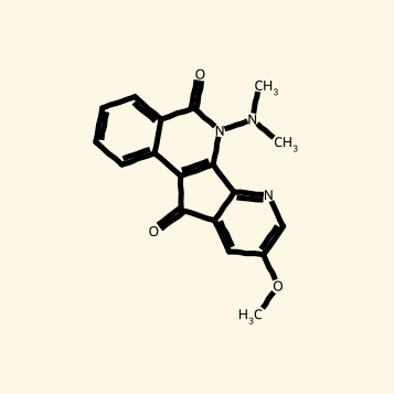 COc1cnc2c(c1)C(=O)c1c-2n(N(C)C)c(=O)c2ccccc12